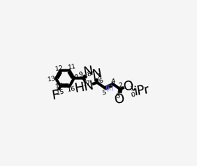 CC(C)OC(=O)/C=C/c1nnc(-c2cccc(F)c2)[nH]1